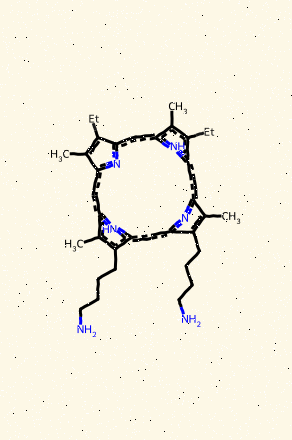 CCC1=C(C)c2cc3[nH]c(cc4nc(cc5[nH]c(cc1n2)c(C)c5CC)C(C)=C4CCCCN)c(CCCCN)c3C